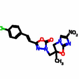 CC1(Cn2nc(C=Cc3ccc(Cl)cc3)oc2=O)Cn2cc([N+](=O)[O-])nc2O1